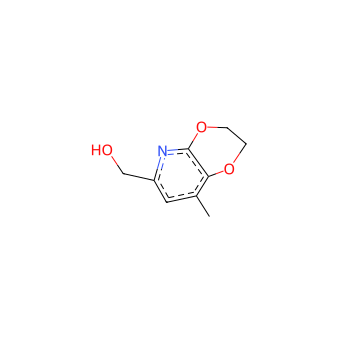 Cc1cc(CO)nc2c1OCCO2